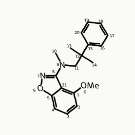 COc1cccc2onc(N(C)CC(C)(C)c3ccccc3)c12